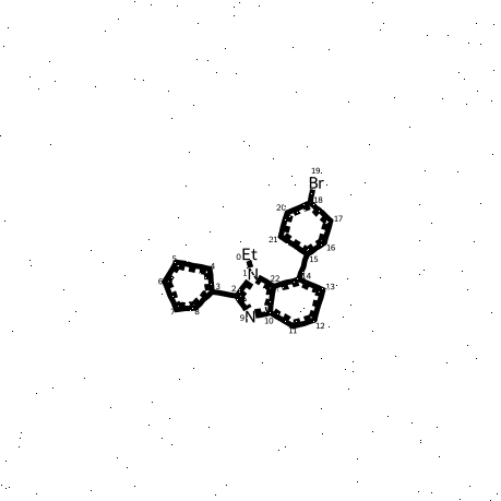 CCn1c(-c2ccccc2)nc2cccc(-c3ccc(Br)cc3)c21